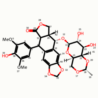 COc1cc(C2c3cc4c(cc3[C@@H](O[C@@H]3O[C@@H]5CO[C@@H](C)O[C@H]5[C@H](O)[C@H]3O)[C@H]3COC(=O)C23)OCO4)cc(OC)c1O